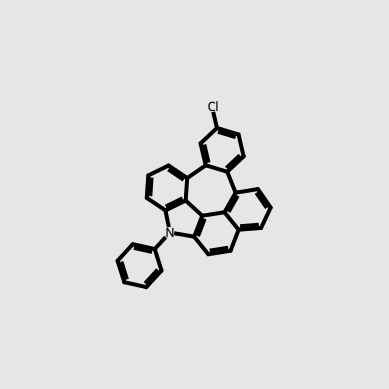 Clc1ccc2c(c1)-c1cccc3c1c1c4c-2cccc4ccc1n3-c1ccccc1